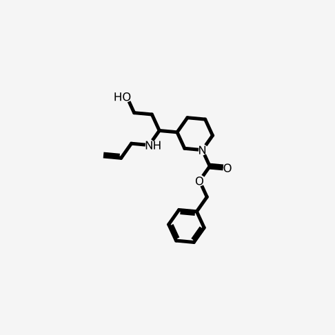 C=CCNC(CCO)C1CCCN(C(=O)OCc2ccccc2)C1